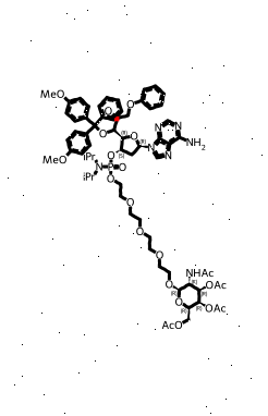 COc1ccc(C(OC(C(=O)COc2ccccc2)[C@H]2O[C@@H](n3cnc4c(N)ncnc43)C[C@@H]2OP(=O)(OCCOCCOCCOCCO[C@@H]2O[C@H](COC(C)=O)[C@H](OC(C)=O)[C@H](OC(C)=O)[C@H]2NC(C)=O)N(C(C)C)C(C)C)(c2ccccc2)c2ccc(OC)cc2)cc1